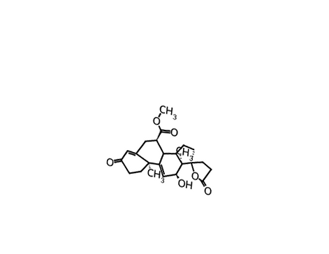 COC(=O)[C@@H]1CC2=CC(=O)CC[C@]2(C)C2=C[C@H](O)[C@@]3(C)C(CC[C@@]34CCC(=O)O4)C21